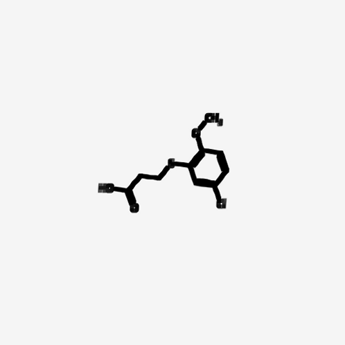 COc1ccc(Cl)cc1SCCC(=O)O